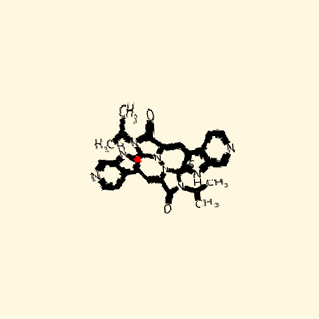 CC(C)N1C(=O)/C(=C/c2c[nH]c3cnccc23)N(N2C(=S)N(C(C)C)C(=O)/C2=C/c2c[nH]c3cnccc23)C1=S